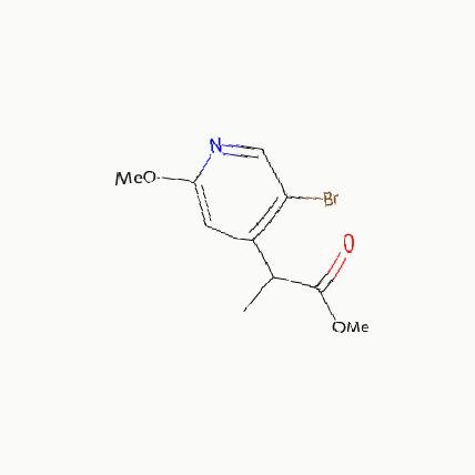 COC(=O)C(C)c1cc(OC)ncc1Br